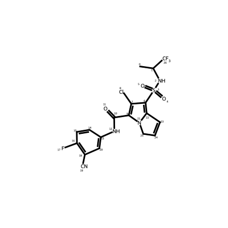 CC(NS(=O)(=O)c1c(Cl)c(C(=O)Nc2ccc(F)c(C#N)c2)n2c1C=CC2)C(F)(F)F